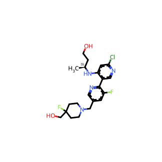 C[C@@H](CCO)Nc1cc(Cl)ncc1-c1ncc(CN2CCC(F)(CO)CC2)cc1F